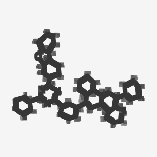 c1ccc(-c2nc(-c3cccc(-c4cc5c6cccnc6c(-c6ccccc6)cc5c5ccccc45)c3)nc(-c3ccc4c(c3)oc3ccccc34)n2)cc1